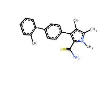 Cc1c(C#N)c(-c2ccc(-c3ccccc3C#N)cc2)c(C(N)=S)n1C